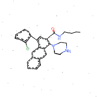 CCCCNC(=O)c1cc(-c2ccccc2Cl)c2cc3ccccc3cc2c1N1CCNCC1